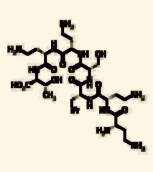 CC(C)C[C@@H](NC(=O)[C@H](CCN)NC(=O)[C@@H](N)CCN)C(=O)N[C@@H](CO)C(=O)N[C@@H](CCN)C(=O)N[C@@H](CCN)C(=O)N[C@H](C(=O)O)[C@@H](C)O